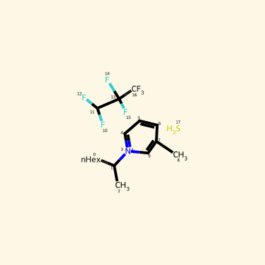 CCCCCCC(C)[n+]1cccc(C)c1.FC(F)C(F)(F)C(F)(F)F.S